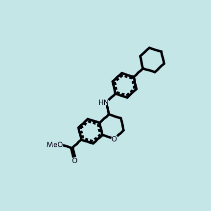 COC(=O)c1ccc2c(c1)OCCC2Nc1ccc(C2CCCCC2)cc1